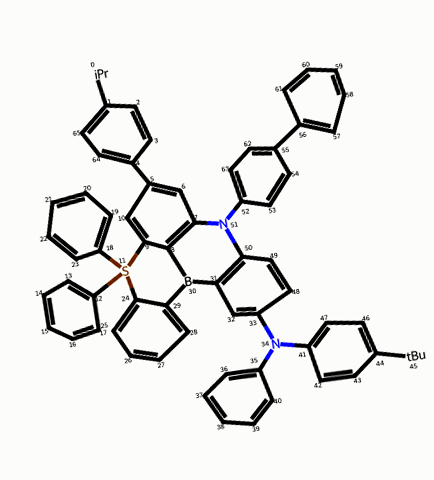 CC(C)c1ccc(-c2cc3c4c(c2)S(c2ccccc2)(c2ccccc2)c2ccccc2B4c2cc(N(c4ccccc4)c4ccc(C(C)(C)C)cc4)ccc2N3c2ccc(-c3ccccc3)cc2)cc1